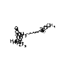 Cc1ccc(S(=O)(=O)CCCCCCCCCCCCC[C@@H]2CC3=CC(=O)CC[C@]3(C)[C@H]3CC[C@@]4(C)[C@@H](CC[C@@]4(O)C(F)(F)C(F)(F)F)[C@H]23)cc1